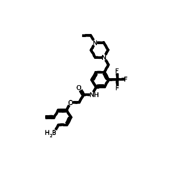 BC/C=C\C(=C/C=C)OCC(=O)Nc1ccc(CN2CCN(CC)CC2)c(C(F)(F)F)c1